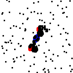 COc1cccc(N2CCN(CCC3CCOc4ccccc43)CC2)c1